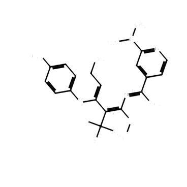 CC/C=C(Sc1ccc(C)cc1)/C(=C(\N=C(/C)c1ccnc(N(C)C)c1)OC)C(F)(F)F